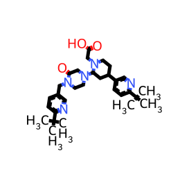 CC(C)(C)c1ccc(CN2CCN(C3CC(c4ccc(C(C)(C)C)nc4)CCN3CC(=O)O)CC2=O)cn1